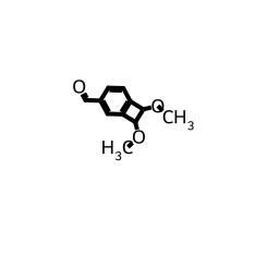 COC1c2ccc(C=O)cc2C1OC